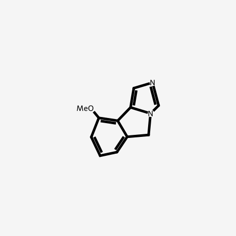 COc1cccc2c1-c1cncn1C2